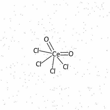 [O]=[Ce](=[O])([Cl])([Cl])([Cl])[Cl]